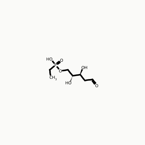 CCP(=O)(O)OC[C@@H](O)[C@@H](O)CC=O